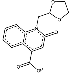 O=C(O)c1cc(=O)n(CC2OCCO2)c2ccccc12